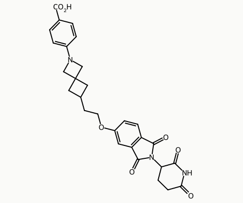 O=C1CCC(N2C(=O)c3ccc(OCCC4CC5(C4)CN(c4ccc(C(=O)O)cc4)C5)cc3C2=O)C(=O)N1